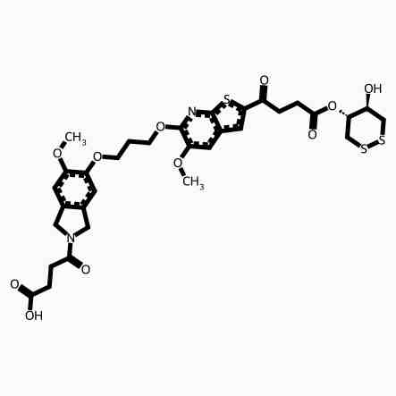 COc1cc2c(cc1OCCCOc1nc3sc(C(=O)CCC(=O)O[C@H]4CSSC[C@@H]4O)cc3cc1OC)CN(C(=O)CCC(=O)O)C2